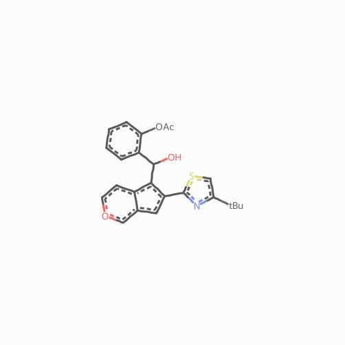 CC(=O)Oc1ccccc1C(O)c1c2ccocc-2cc1-c1nc(C(C)(C)C)cs1